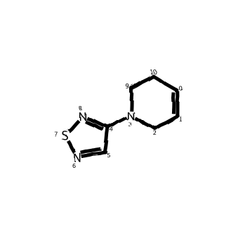 C1=CCN(c2cnsn2)CC1